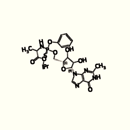 Cc1nc2c(ncn2[C@@H]2O[C@H](COP(=S)(NC(C)C(=O)OC(C)C)Oc3ccccc3)C(O)C2O)c(=O)[nH]1